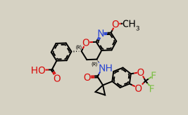 COc1ccc2c(n1)O[C@@H](c1cccc(C(=O)O)c1)C[C@H]2NC(=O)C1(c2ccc3c(c2)OC(F)(F)O3)CC1